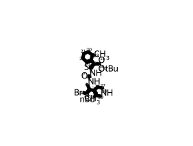 CCCCC1=C(/C(CNC(=O)Nc2sc3c(c2C(=O)OC(C)(C)C)C(C)CCC3)=C(\C)Br)CCNC1